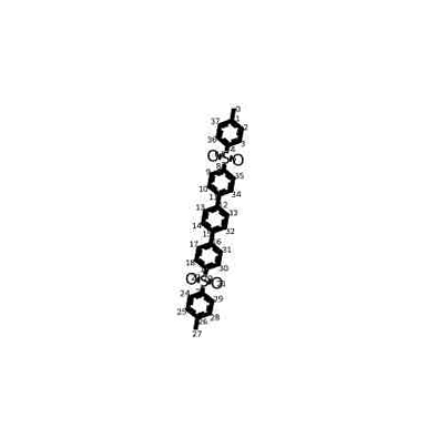 Cc1ccc(S(=O)(=O)c2ccc(-c3ccc(-c4ccc(S(=O)(=O)c5ccc(C)cc5)cc4)cc3)cc2)cc1